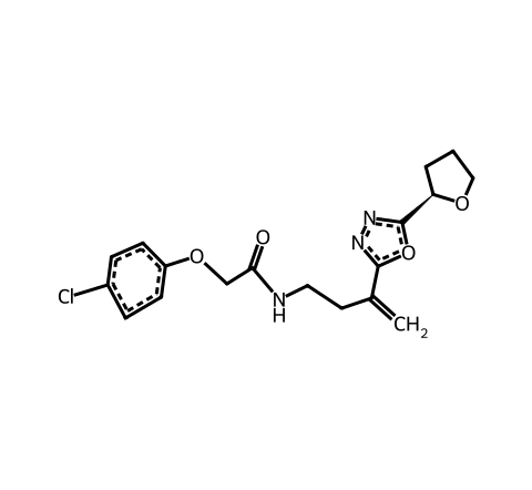 C=C(CCNC(=O)COc1ccc(Cl)cc1)c1nnc([C@H]2CCCO2)o1